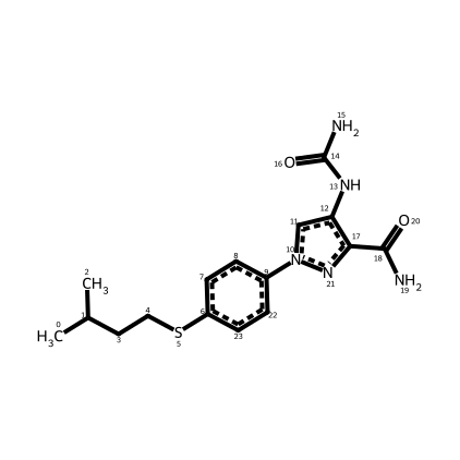 CC(C)CCSc1ccc(-n2cc(NC(N)=O)c(C(N)=O)n2)cc1